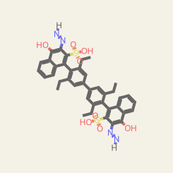 [H]/N=N/c1c(S(=O)(=O)O)c(-c2c(CC)cc(-c3cc(CC)c(-c4c(S(=O)(=O)O)c(/N=N/[H])c(O)c5ccccc45)c(CC)c3)cc2CC)c2ccccc2c1O